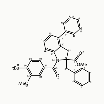 COC(=O)C1(Cc2ccccc2)Cc2c(-c3cncnc3)cccc2N1C(=O)c1ccc(C(C)(C)C)c(OC)c1